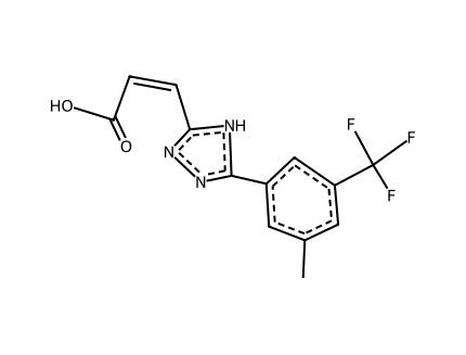 Cc1cc(-c2nnc(/C=C\C(=O)O)[nH]2)cc(C(F)(F)F)c1